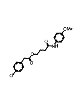 COc1ccc(NC(=O)CCCOC(=O)Cc2ccc(Cl)cc2)cc1